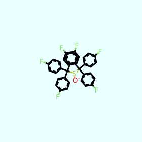 [O-][S+](C(c1ccc(F)cc1)(c1ccc(F)cc1)c1ccc(F)cc1)C(c1ccc(F)cc1)(c1ccc(F)cc1)c1ccc(F)cc1